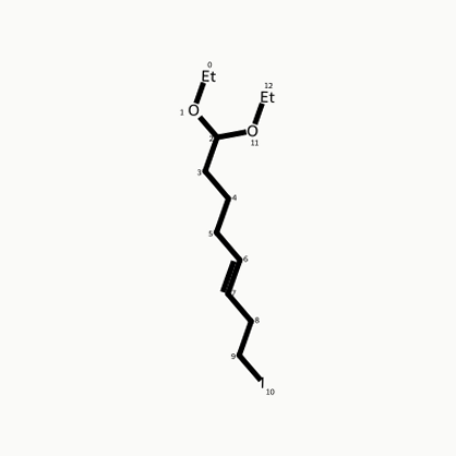 CCOC(CCC/C=C/CCI)OCC